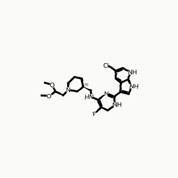 COC(CN1CCC[C@@H](CNC2=C(F)CNC(C3=CNC4NC=C(Cl)C=C34)=N2)C1)OC